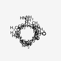 CC[C@H](C)[C@@H]1NC(=O)[C@@H](CCCNC(=N)N)NC(=O)[C@H](CC(C)C)NC(=O)C([C@H](O)C(C)C)NC(=O)[C@@H](NC(=O)OCc2ccccc2)[C@@H](c2ccccc2)NC(=O)[C@H](CO)NC(=O)[C@H]([C@H](O)C(N)=O)NC(=O)CNC(=O)[C@H]([C@H](C)O)NC1=O